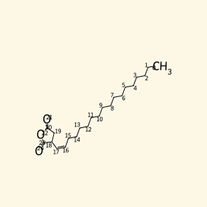 CCCCCCCCCCCCCCCC/C=C\C1CC(=O)OC1=O